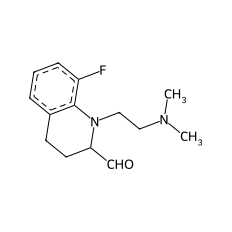 CN(C)CCN1c2c(F)cccc2CCC1C=O